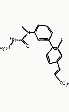 CCCCCCCNC(=O)N(C)c1cccc(-c2ccc(C=CC(=O)O)cc2F)c1